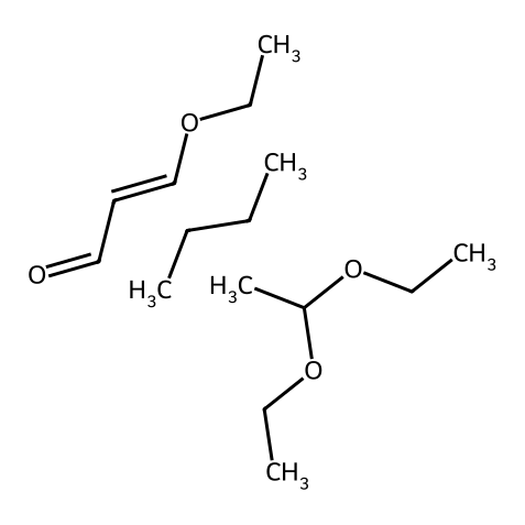 CCCC.CCO/C=C/C=O.CCOC(C)OCC